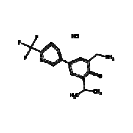 CC(C)n1cc(-c2ccc(C(F)(F)F)nc2)cc(CN)c1=O.Cl